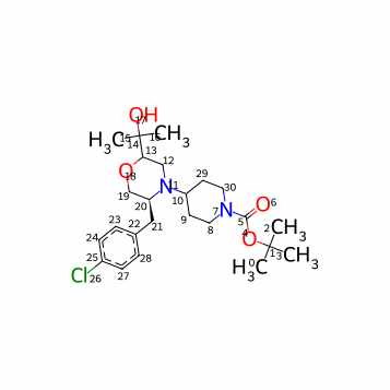 CC(C)(C)OC(=O)N1CCC(N2CC(C(C)(C)O)OC[C@@H]2Cc2ccc(Cl)cc2)CC1